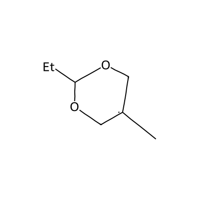 CCC1OC[C](C)CO1